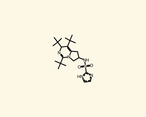 CC(C)(C)C1=NC(C(C)(C)C)C(C(C)(C)C)=C2CC(NS(=O)(=O)c3ncc[nH]3)CN12